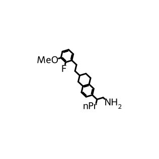 CCCC(CN)c1ccc2c(c1)CCC(CCc1cccc(OC)c1F)C2